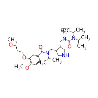 COCCCOc1cc(C(=O)N(CC2CNCC2CN(C(=O)N(C(C)C)C(C)C)C2CC2)C(C)C)ccc1OC